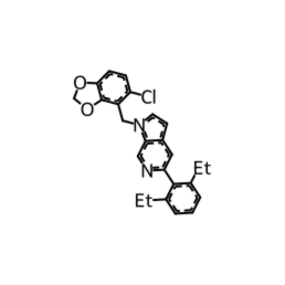 CCc1cccc(CC)c1-c1cc2ccn(Cc3c(Cl)ccc4c3OCO4)c2cn1